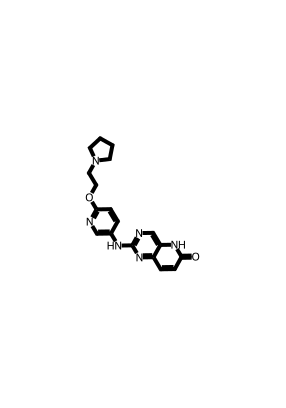 O=c1ccc2nc(Nc3ccc(OCCN4CCCC4)nc3)ncc2[nH]1